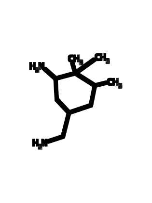 CC1CC(CN)CC(N)C1(C)C